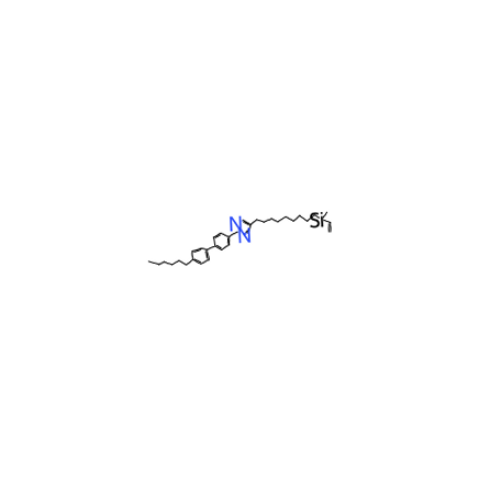 C=C[Si](C)(C)CCCCCCCCCc1cnc(-c2ccc(-c3ccc(CCCCCC)cc3)cc2)nc1